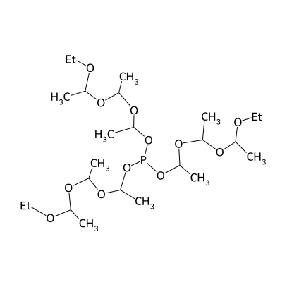 CCOC(C)OC(C)OC(C)OP(OC(C)OC(C)OC(C)OCC)OC(C)OC(C)OC(C)OCC